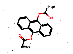 CCCCCCCC(=O)Oc1c2ccccc2c(OC(O)CCCCCCC)c2ccccc12